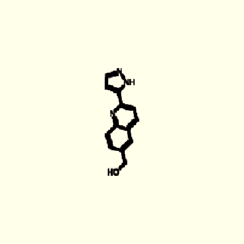 OCc1ccc2nc(-c3ccn[nH]3)ccc2c1